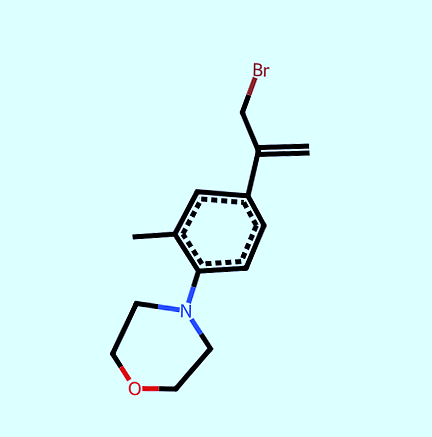 C=C(CBr)c1ccc(N2CCOCC2)c(C)c1